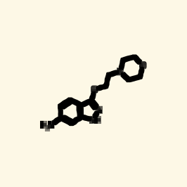 Nc1ccc2c(OCCN3CCOCC3)n[nH]c2c1